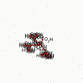 O=C(O)CCCCCNC(=O)CN(CC(=O)NCCCCCC(=O)NCCO[C@H]1O[C@H](CO[C@H]2O[C@H](CO)[C@@H](O)[C@H](O)[C@@H]2O)[C@@H](O)[C@H](O[C@H]2O[C@H](CO)[C@@H](O)[C@H](O)[C@@H]2O)[C@@H]1O)CC(=O)N[C@@H](CCC(=O)NCCCCCC(=O)N(CCCO[C@H]1O[C@H](CO)[C@@H](O)[C@H](O)[C@@H]1O)CCCO[C@H]1O[C@H](CO)[C@@H](O)[C@H](O)[C@@H]1O)C(=O)NCCCCCC(=O)N(CCCO[C@H]1O[C@H](CO)[C@@H](O)[C@H](O)[C@@H]1O)CCCO[C@H]1O[C@H](CO)[C@@H](O)[C@H](O)[C@@H]1O